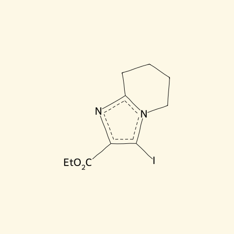 CCOC(=O)c1nc2n(c1I)CCCC2